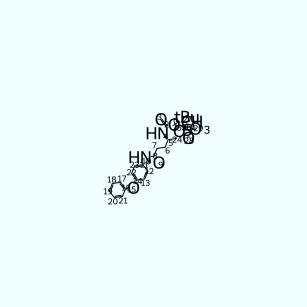 CC(C)(C)OC(=O)NC(CCC(=O)Nc1ccc(Oc2ccccc2)cc1)COS(C)(=O)=O